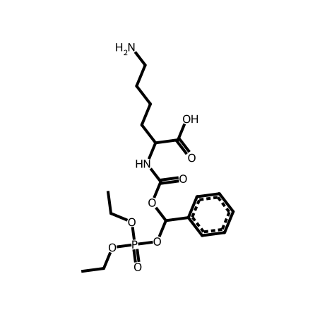 CCOP(=O)(OCC)OC(OC(=O)NC(CCCCN)C(=O)O)c1ccccc1